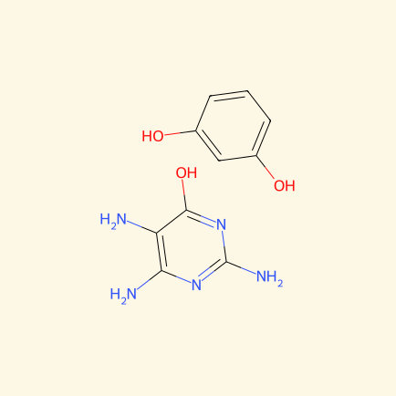 Nc1nc(N)c(N)c(O)n1.Oc1cccc(O)c1